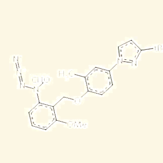 COc1cccc(N(C=O)N=[N+]=[N-])c1COc1ccc(-n2ccc(C(C)(C)C)n2)cc1C